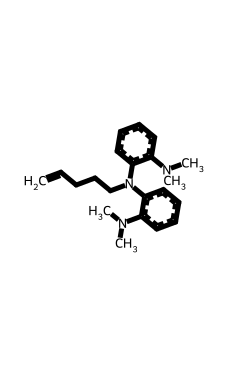 C=CCCCN(c1ccccc1N(C)C)c1ccccc1N(C)C